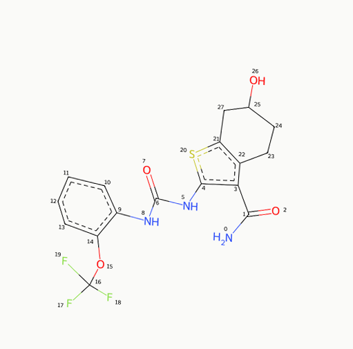 NC(=O)c1c(NC(=O)Nc2ccccc2OC(F)(F)F)sc2c1CCC(O)C2